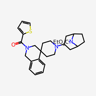 CCOC(=O)N1C2CCC1CC(N1CCC3(CC1)CN(C(=O)c1cccs1)Cc1ccccc13)C2